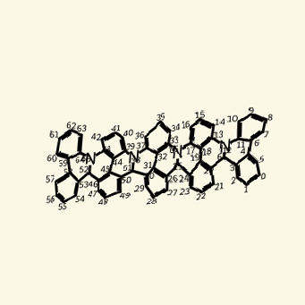 c1ccc2c(c1)-c1ccccc1N1c3cccc4c3-c3c(cccc3C3c5cccc6c5-c5c(cccc5N5c7cccc8c7-c7c(cccc7C65)C5c6ccccc6-c6ccccc6N85)N43)C21